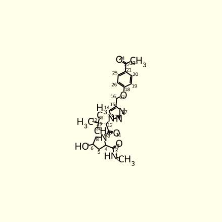 CNC(=O)C1CC(O)CN1C(=O)[C@@H](n1cc(COc2ccc(C(C)=O)cc2)nn1)C(C)(C)C